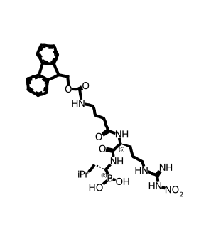 CC(C)C[C@H](NC(=O)[C@H](CCCNC(=N)N[N+](=O)[O-])NC(=O)CCCNC(=O)OCC1c2ccccc2-c2ccccc21)B(O)O